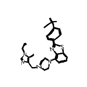 CCn1cnc(CN2CCN(c3cccc4sc(-c5ccc(C(C)(C)C)cc5)nc34)CC2)c1C